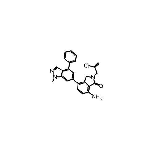 C=C(Cl)CN1Cc2c(-c3cc(-c4ccccc4)c4cnn(C)c4c3)ccc(N)c2C1=O